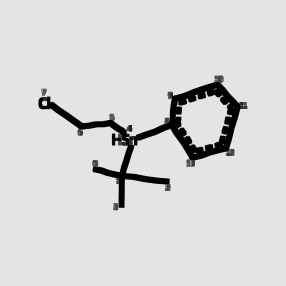 C[C](C)(C)[SnH]([CH2]CCl)[c]1ccccc1